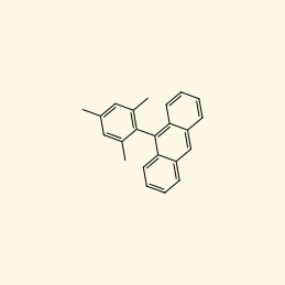 Cc1cc(C)c(-c2c3ccccc3cc3ccccc23)c(C)c1